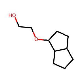 OCCOC1CCC2CCCC21